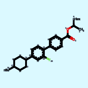 CCCCCCC(C)OC(=O)c1ccc(-c2ccc(C3CCC(CCCC)CC3)cc2F)cc1